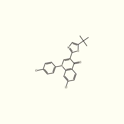 CC(C)(C)c1cnc(-c2cn(-c3ccc(Cl)cc3)c3cc(Cl)ccc3c2=O)o1